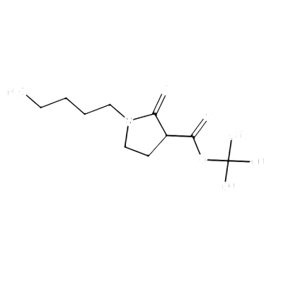 CCCCCN1CCC(C(=O)OC(C)(C)C)C1=O